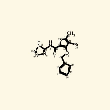 Cc1sc(C(=O)Nc2nnn[nH]2)c(OCc2ccccc2)c1Br